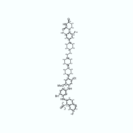 CCc1cc(Nc2ncc(Br)c(Nc3ccc4ncc(F)cc4c3P(C)(C)=O)n2)c(OC)cc1N1CCC(N2CCN(CCC3CCN(c4cc(F)c(C5CCC(=O)NC5=O)c(F)c4)CC3)CC2)CC1